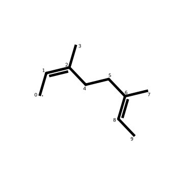 [CH2]C=C(C)CCC(C)=CC